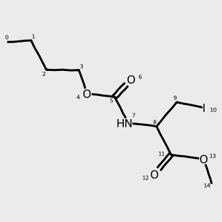 CCCCOC(=O)NC(CI)C(=O)OC